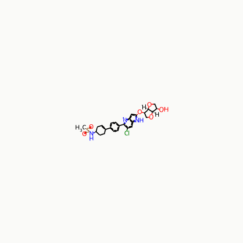 CS(=O)(=O)NC1CC=C(c2ccc(-c3nc4cc(O[C@@H]5CO[C@H]6[C@@H]5OC[C@H]6O)[nH]c4cc3Cl)cc2)CC1